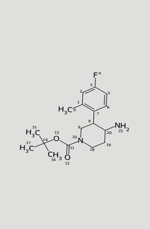 Cc1cc(F)ccc1C1CN(C(=O)OC(C)(C)C)CCC1N